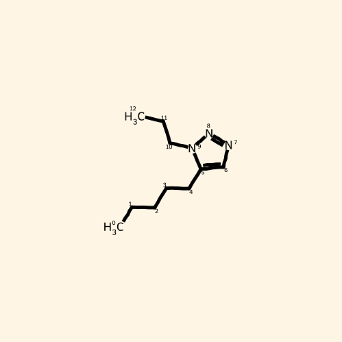 CCCCCc1cnnn1CCC